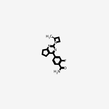 C[C@H]1CCN1c1nc2c(c(-c3ccc(C(N)=O)c(F)c3)n1)CCC2